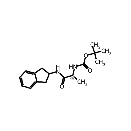 C[C@H](NC(=O)OC(C)(C)C)C(=O)NC1Cc2ccccc2C1